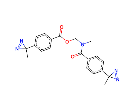 CN(COC(=O)c1ccc(C2(C)N=N2)cc1)C(=O)c1ccc(C2(C)N=N2)cc1